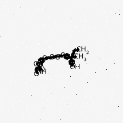 C=C\C=C/C=C/C(CC)=C(/c1ccc(O)cc1)c1ccc(OCCOCCOCCCOc2ccc3c(c2)CN(C2CCC(=O)NC2=O)C3=O)cc1